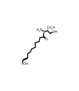 CCCCCCCCC=CCCCCCCCC(=O)N(P)[C@@H](CO)C(=O)O